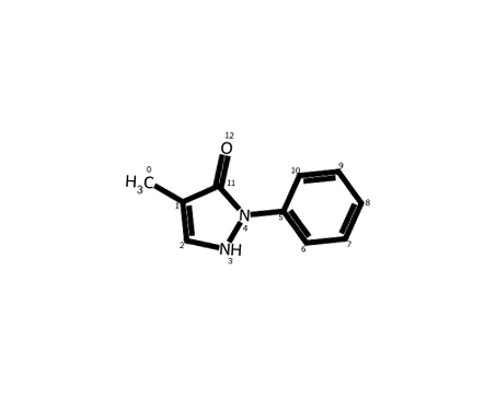 Cc1c[nH]n(-c2ccccc2)c1=O